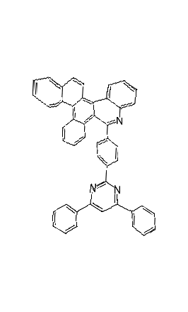 c1ccc(-c2cc(-c3ccccc3)nc(-c3ccc(-c4nc5ccccc5c5c6ccc7ccccc7c6c6ccccc6c45)cc3)n2)cc1